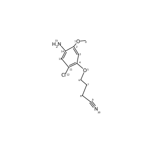 COc1cc(OCCCC#N)c(Cl)cc1N